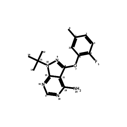 Cc1ccc(F)c(Oc2nn(C(C)(C)C)c3ncnc(N)c23)c1